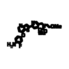 COCCN(Cc1ccc(-c2cc3nccc(Oc4ccc(N)c(F)c4)c3s2)nc1)C(=O)OC(C)(C)C